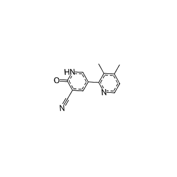 Cc1ccnc(-c2c[nH]c(=O)c(C#N)c2)c1C